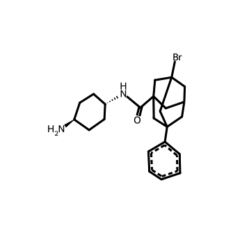 N[C@H]1CC[C@H](NC(=O)C23CC4CC(Br)(C2)CC(c2ccccc2)(C4)C3)CC1